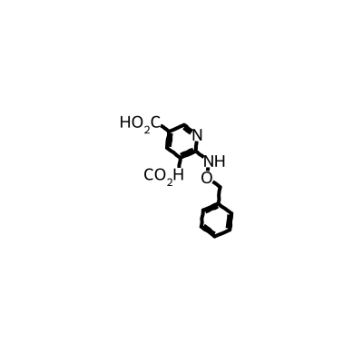 O=C(O)c1cnc(NOCc2ccccc2)c(C(=O)O)c1